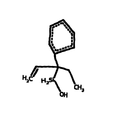 C=CC(CC)([SiH2]O)c1ccccc1